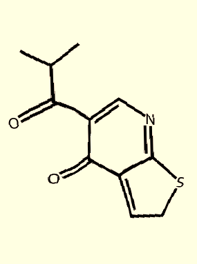 CC(C)C(=O)C1=CN=C2SCC=C2C1=O